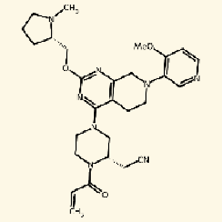 C=CC(=O)N1CCN(c2nc(OC[C@@H]3CCCN3C)nc3c2CCN(c2cnccc2OC)C3)C[C@@H]1CC#N